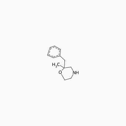 CC1(Cc2ccccc2)CNCCO1